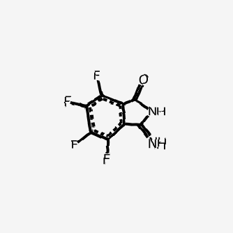 N=C1NC(=O)c2c(F)c(F)c(F)c(F)c21